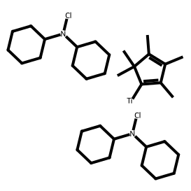 CC1=C(C)C(C)(C)[C]([Ti])=C1C.ClN(C1CCCCC1)C1CCCCC1.ClN(C1CCCCC1)C1CCCCC1